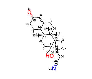 CC12CC[C@H]3[C@@H](CCC4=CC(=O)CC[C@@H]43)[C@@H]1CC[C@@]2(O)CC#N